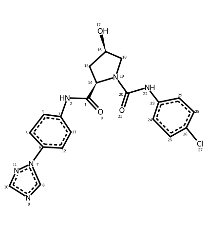 O=C(Nc1ccc(-n2cncn2)cc1)[C@H]1C[C@@H](O)CN1C(=O)Nc1ccc(Cl)cc1